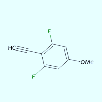 C#Cc1c(F)cc(OC)cc1F